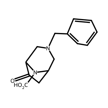 O=C1CC2CN(Cc3ccccc3)CC1N2C(=O)O